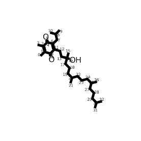 CC1=C(C)C(=O)C(CC(C)C)=C(CCC(C)(O)CCCC(C)CCCC(C)CCCC(C)C)C1=O